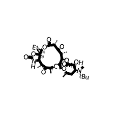 CC[C@H]1OC(=O)[C@H](C)C(=O)[C@H](C)[C@@H](O[C@@H]2O[C@H](C)C[C@H](N(C)C(C)(C)C)[C@H]2O)[C@](C)(OC)C[C@@H](C)C(=O)[C@H](C)C2NC(=O)O[C@@]21C